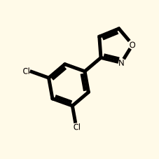 Clc1cc(Cl)cc(-c2ccon2)c1